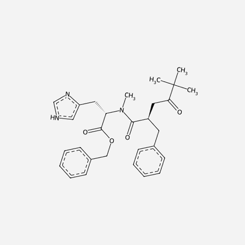 CN(C(=O)[C@@H](CC(=O)C(C)(C)C)Cc1ccccc1)[C@@H](Cc1c[nH]cn1)C(=O)OCc1ccccc1